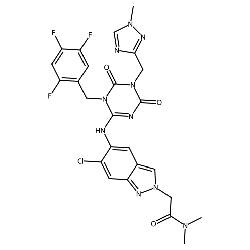 CN(C)C(=O)Cn1cc2cc(Nc3nc(=O)n(Cc4ncn(C)n4)c(=O)n3Cc3cc(F)c(F)cc3F)c(Cl)cc2n1